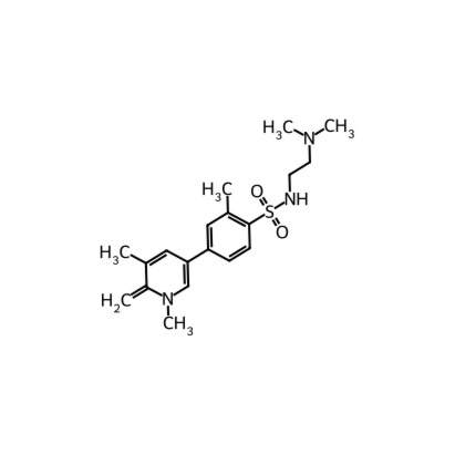 C=C1C(C)=CC(c2ccc(S(=O)(=O)NCCN(C)C)c(C)c2)=CN1C